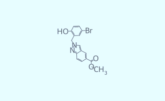 COC(=O)c1ccc2nn(Cc3cc(Br)ccc3O)cc2c1